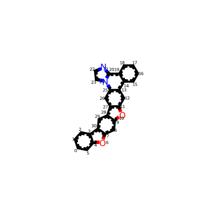 c1ccc2c(c1)oc1cc3oc4cc5c6ccccc6c6nccn6c5cc4c3cc12